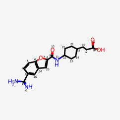 N=C(N)c1ccc2oc(C(=O)NC3CCC(CCC(=O)O)CC3)cc2c1